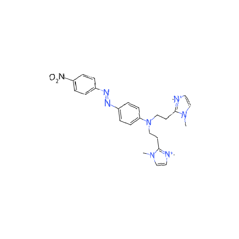 CN1C=C[N+]=C1CCN(CCC1=[N+]C=CN1C)c1ccc(N=Nc2ccc([N+](=O)[O-])cc2)cc1